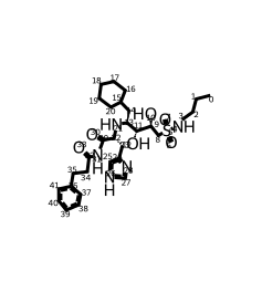 CCCCNS(=O)(=O)C[C@H](O)[C@H](O)[C@H](CC1CCCCC1)N[C@H](Cc1c[nH]cn1)C(=O)NC(=O)CCc1ccccc1